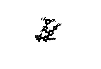 COc1ncc(-c2c(C)n[nH]c2C)cc1-c1cnc(N2CC(O)C2)nc1CN1C(=O)O[C@H](c2cc(C(F)(F)F)cc(C(F)(F)F)c2)[C@@H]1C